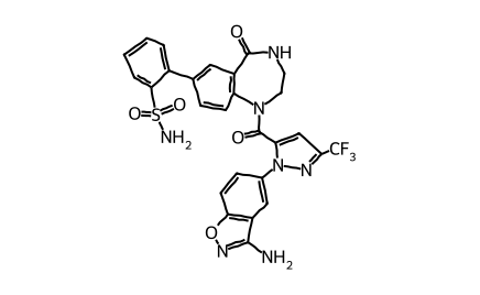 Nc1noc2ccc(-n3nc(C(F)(F)F)cc3C(=O)N3CCNC(=O)c4cc(-c5ccccc5S(N)(=O)=O)ccc43)cc12